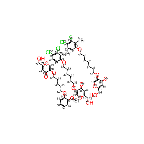 CCCc1c(OCCCCCCCOc2coc(CO)cc2=O)ccc(Cl)c1Cl.CCCc1c(OCCCCCCOc2coc(CO)cc2=O)ccc(Cl)c1Cl.CCOc1ccccc1OCCCCCOc1coc(CO)cc1=O